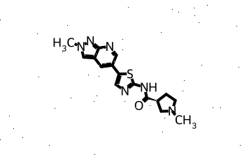 CN1CC[C@H](C(=O)Nc2ncc(-c3cnc4nn(C)cc4c3)s2)C1